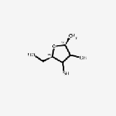 C[C@@H]1O[C@H](CO)C(S)C1O